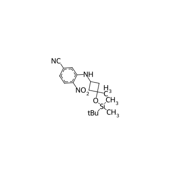 CC1(O[Si](C)(C)C(C)(C)C)CC(Nc2cc(C#N)ccc2[N+](=O)[O-])C1